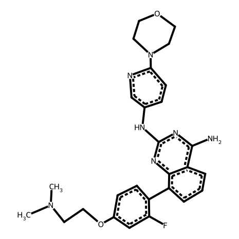 CN(C)CCOc1ccc(-c2cccc3c(N)nc(Nc4ccc(N5CCOCC5)nc4)nc23)c(F)c1